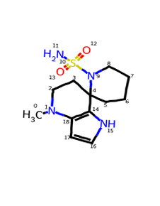 CN1CCC2(CCCCN2S(N)(=O)=O)c2[nH]ccc21